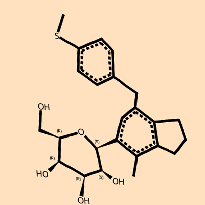 CSc1ccc(Cc2cc([C@@H]3O[C@H](CO)[C@H](O)[C@H](O)[C@@H]3O)c(C)c3c2CCC3)cc1